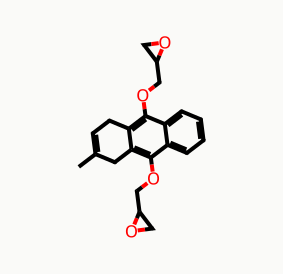 CC1=CCc2c(c(OCC3CO3)c3ccccc3c2OCC2CO2)C1